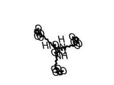 O=C(CN(CC(=O)NCCCCCC(=O)ON1C(=O)CCC1=O)CC(=O)NCCCCCC(=O)ON1C(=O)CCC1=O)NCCCCCC(=O)ON1C(=O)CCC1=O